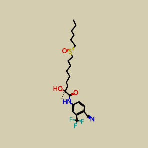 CCCCCC[S+]([O-])CCCCCCC[C@](C)(O)C(=O)Nc1ccc(C#N)c(C(F)(F)F)c1